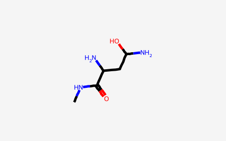 CNC(=O)C(N)CC(N)O